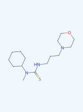 CN(C(=S)NCCCN1CCOCC1)C1CCCCC1